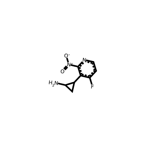 NC1CC1c1c(F)ccnc1[N+](=O)[O-]